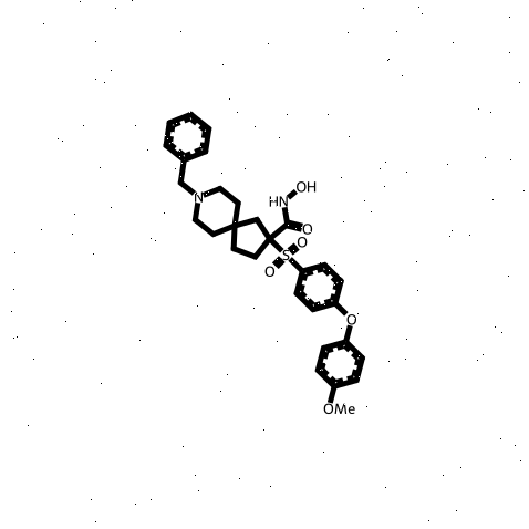 COc1ccc(Oc2ccc(S(=O)(=O)C3(C(=O)NO)CCC4(CCN(Cc5ccccc5)CC4)C3)cc2)cc1